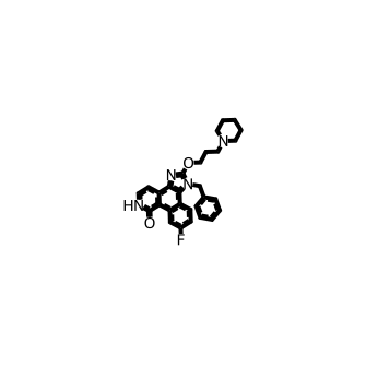 O=c1[nH]ccc2c3nc(OCCCN4CCCCC4)n(Cc4ccccc4)c3c3ccc(F)cc3c12